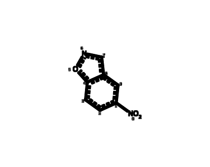 O=[N+]([O-])c1ccc2on[c]c2c1